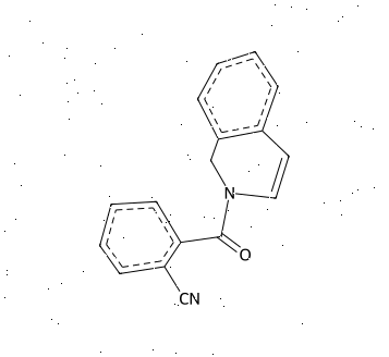 N#Cc1ccccc1C(=O)N1C=Cc2ccccc2C1